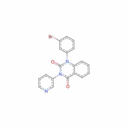 O=c1c2ccccc2n(-c2cccc(Br)c2)c(=O)n1-c1cccnc1